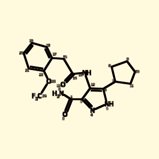 NC(=O)c1n[nH]c(C2CCCC2)c1NC(=O)Cc1ccccc1OC(F)(F)F